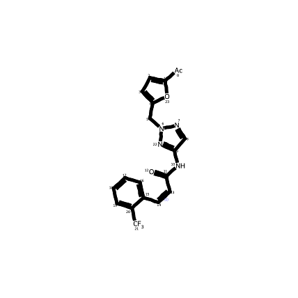 CC(=O)c1ccc(Cn2ncc(NC(=O)/C=C\c3ccccc3C(F)(F)F)n2)o1